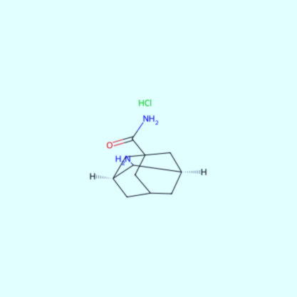 Cl.NC(=O)C12CC3C[C@H](C1)C(N)[C@@H](C3)C2